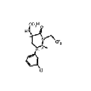 C[C@H]1[C@@H](c2cccc(Cl)c2)C[C@@H](NC(=O)O)C(=O)N1CC(F)(F)F